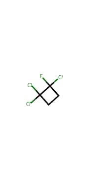 FC1(Cl)CCC1(Cl)Cl